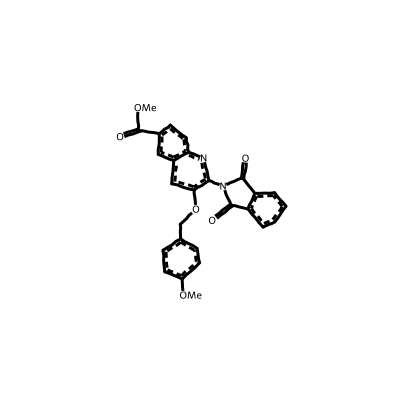 COC(=O)c1ccc2nc(N3C(=O)c4ccccc4C3=O)c(OCc3ccc(OC)cc3)cc2c1